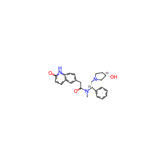 CN(C(=O)Cc1ccc2[nH]c(=O)ccc2c1)[C@H](CN1CC[C@H](O)C1)c1ccccc1